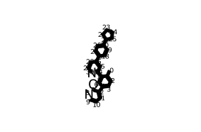 Cc1ccc2c(oc3ncccc32)c1-c1cc(-c2ccc(C3CCCC3)cc2)ccn1